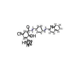 O=C(/C=C/c1ccc(/C=C/c2ccc3ccccc3n2)cc1)c1cc(Cl)cc(-c2nnn[nH]2)c1O